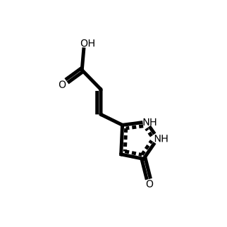 O=C(O)C=Cc1cc(=O)[nH][nH]1